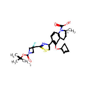 C[C@H]1CCc2c(ccc(-c3csc(C4(F)CN(C(=O)OC(C)(C)C)C4)n3)c2OC2CCC2)N1C(=O)O